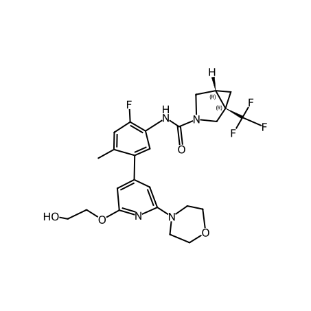 Cc1cc(F)c(NC(=O)N2C[C@@H]3C[C@]3(C(F)(F)F)C2)cc1-c1cc(OCCO)nc(N2CCOCC2)c1